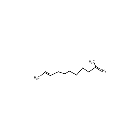 C=C(C)CCCCCCC=CC